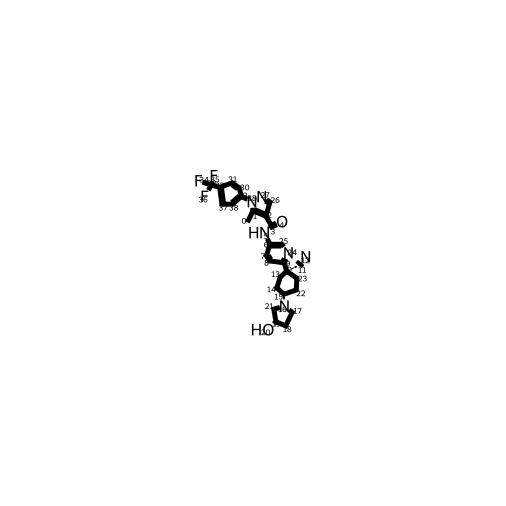 Cc1c(C(=O)Nc2ccc([C@]3(C#N)CC[C@@H](N4CCC(O)C4)CC3)nc2)cnn1-c1ccc(C(F)(F)F)cc1